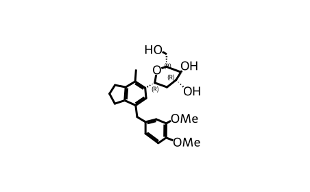 COc1ccc(Cc2cc([C@H]3C[C@@H](O)C(O)[C@@H](CO)O3)c(C)c3c2CCC3)cc1OC